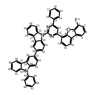 Fc1cccc2c1oc1c(-c3cc(-c4ccccc4)nc(-n4c5ccccc5c5cc(-c6ccc7c(c6)c6ccccc6n7-c6ccccc6)ccc54)n3)cccc12